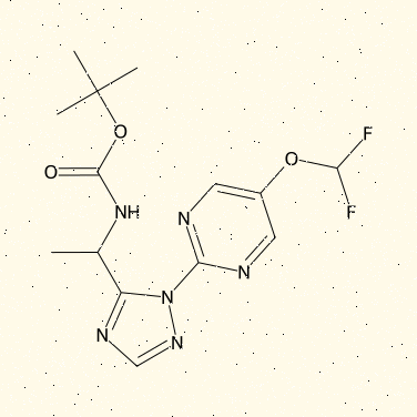 CC(NC(=O)OC(C)(C)C)c1ncnn1-c1ncc(OC(F)F)cn1